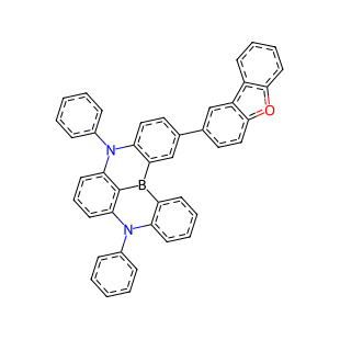 c1ccc(N2c3ccccc3B3c4cc(-c5ccc6oc7ccccc7c6c5)ccc4N(c4ccccc4)c4cccc2c43)cc1